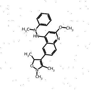 COc1cc(NN(C)c2ccccc2)c2cc(C3=C(C)N(C)OC3C)ccc2n1